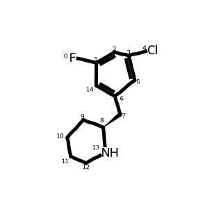 Fc1cc(Cl)cc(C[C@@H]2CCCCN2)c1